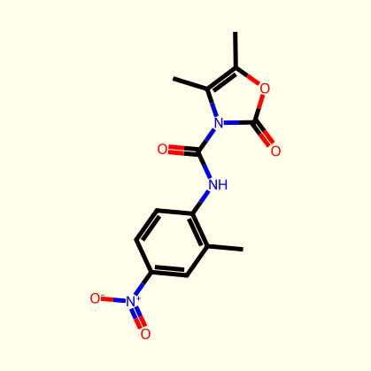 Cc1cc([N+](=O)[O-])ccc1NC(=O)n1c(C)c(C)oc1=O